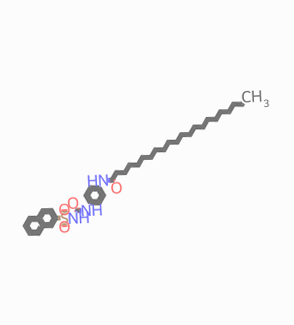 CCCCCCCCCCCCCCCCCCCCCC(=O)Nc1ccc(NC(=O)NS(=O)(=O)c2ccc3ccccc3c2)cc1